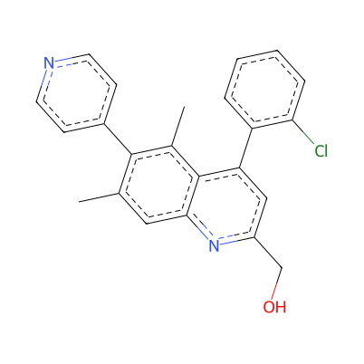 Cc1cc2nc(CO)cc(-c3ccccc3Cl)c2c(C)c1-c1ccncc1